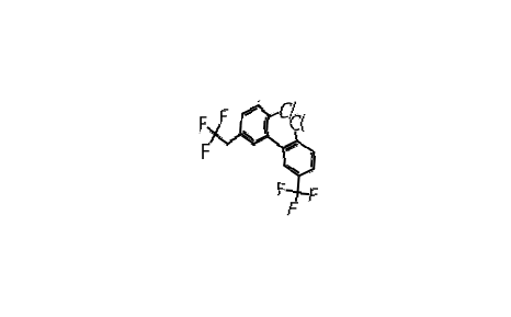 FC(F)(F)Cc1c[c]c(Cl)c(-c2cc(C(F)(F)F)ccc2Cl)c1